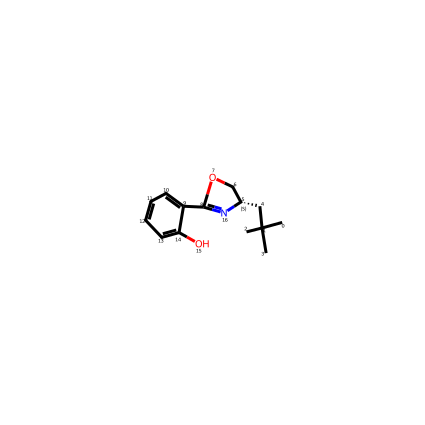 CC(C)(C)C[C@H]1COC(c2ccccc2O)=N1